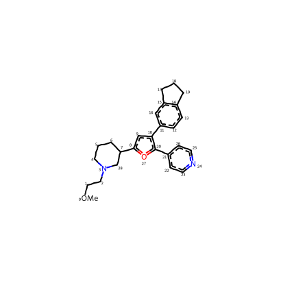 COCCN1CCCC(c2cc(-c3ccc4c(c3)CCC4)c(-c3ccncc3)o2)C1